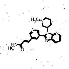 CN1CCC[C@@H](n2c(-c3cncc(/C=C/C(=O)NO)c3)nc3cccnc32)C1